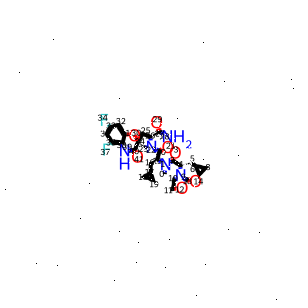 CN(C(=O)[C@H](CC1CC1)N1CCOC1=O)[C@@H](CC1CC1)C(=O)N1C[C@@]2(C[C@H]1C(N)=O)Oc1cc(F)cc(F)c1NC2=O